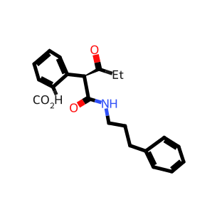 CCC(=O)[C@@H](C(=O)NCCCc1ccccc1)c1ccccc1C(=O)O